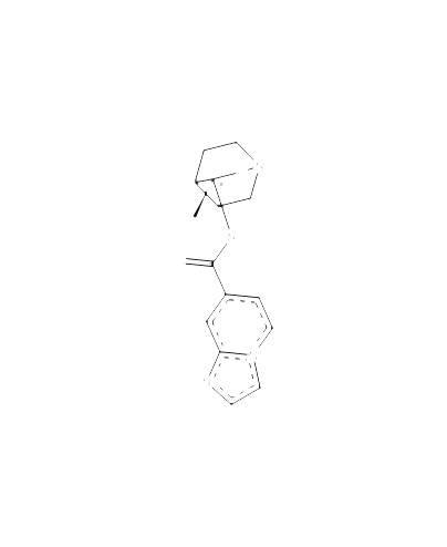 O=C(N[C@H]1CN2CCC1CC2)c1ccn2ccnc2c1